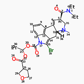 CCN(CC)C(=O)[C@@H]1C=C2c3cccc4c3c(c(Br)n4C(=O)OC(OC(=O)C3CCOC3)C(C)C)C[C@H]2N(C)C1